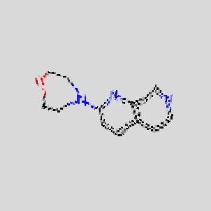 c1cc2ccc(N3CCOCC3)nc2cn1